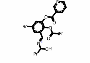 CC(C)C(=O)Oc1c(/C=N/C(O)C(C)C)cc(Br)cc1OC(=O)c1cccnc1